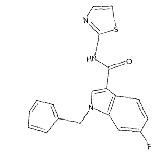 O=C(Nc1nccs1)c1cn(Cc2ccccc2)c2cc(F)ccc12